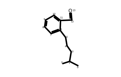 CC(C)CCCc1ccccc1C=O